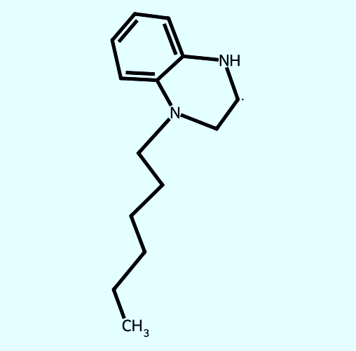 CCCCCCN1C[CH]Nc2ccccc21